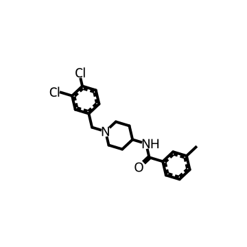 Cc1cccc(C(=O)NC2CCN(Cc3ccc(Cl)c(Cl)c3)CC2)c1